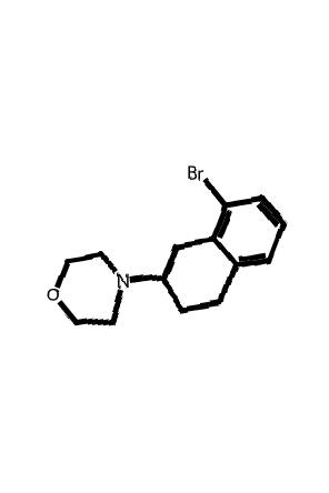 Brc1cccc2c1CC(N1CCOCC1)CC2